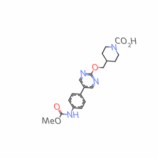 COC(=O)Nc1ccc(-c2cnc(OCC3CCN(C(=O)O)CC3)nc2)cc1